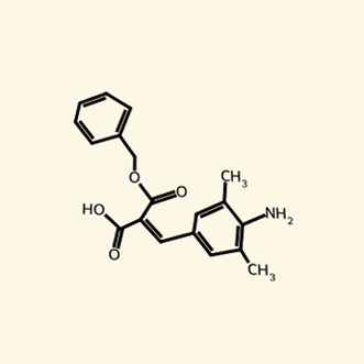 Cc1cc(C=C(C(=O)O)C(=O)OCc2ccccc2)cc(C)c1N